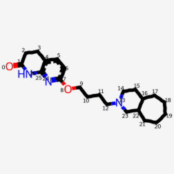 O=C1CCc2ccc(OCCCCN3CCC4CCCCCC4C3)nc2N1